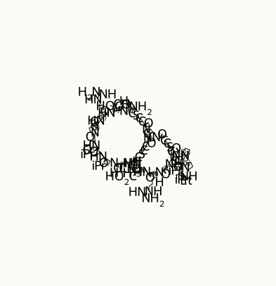 CCNC(CC(C)C)C(=O)N1CCC[C@H]1C(=O)N1CCC[C@H]1C(=O)N[C@@H]1CSCCC(=O)N2CN3CN(C2)C(=O)CCSC[C@@H](NC(=O)[C@H](CCC(=O)O)NC(=O)[C@@H](CCCCNC(=N)N)NC(=O)[C@@H](C(C)C)NC1=O)C(=O)N[C@H](C)C(=O)NC(CC(C)C)C(=O)NC(CC(C)C)C(=O)NC(Cc1ccccc1)C(=O)N1CCC[C@H]1C(=O)N[C@H](CCCCNC(=N)N)C(=O)N[C@H](C(C)O)C(=O)N[C@@H](C(N)=O)CSCCC3=O